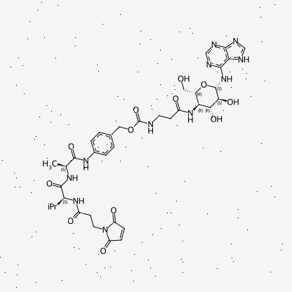 CC(C)[C@H](NC(=O)CCN1C(=O)C=CC1=O)C(=O)N[C@@H](C)C(=O)Nc1ccc(COC(=O)NCCC(=O)N[C@@H]2[C@@H](O)[C@H](O)[C@@H](Nc3ncnc4nc[nH]c34)O[C@H]2CO)cc1